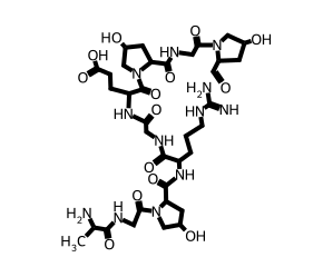 CC(N)C(=O)NCC(=O)N1CC(O)CC1C(=O)NC(CCCNC(=N)N)C(=O)NCC(=O)NC(CCC(=O)O)C(=O)N1CC(O)CC1C(=O)NCC(=O)N1CC(O)CC1C=O